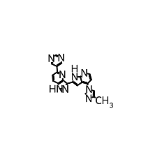 Cc1cn(-c2ccnc3[nH]c(-c4n[nH]c5ccc(-c6cncnc6)nc45)cc23)cn1